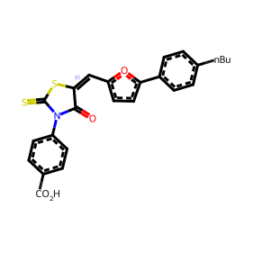 CCCCc1ccc(-c2ccc(/C=C3/SC(=S)N(c4ccc(C(=O)O)cc4)C3=O)o2)cc1